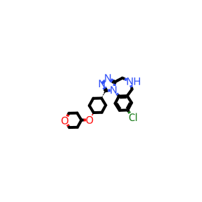 Clc1ccc2c(c1)CNCc1nnc([C@H]3CC[C@@H](OC4CCOCC4)CC3)n1-2